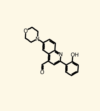 O=Cc1cc(-c2ccccc2O)nc2ccc(N3CCOCC3)cc12